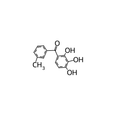 Cc1cccc(C(=O)c2ccc(O)c(O)c2O)c1